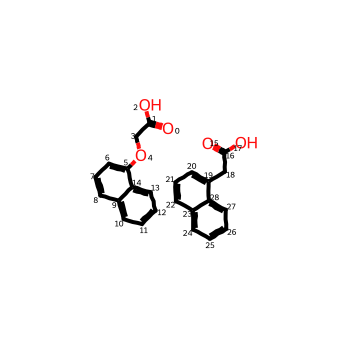 O=C(O)COc1cccc2ccccc12.O=C(O)Cc1cccc2ccccc12